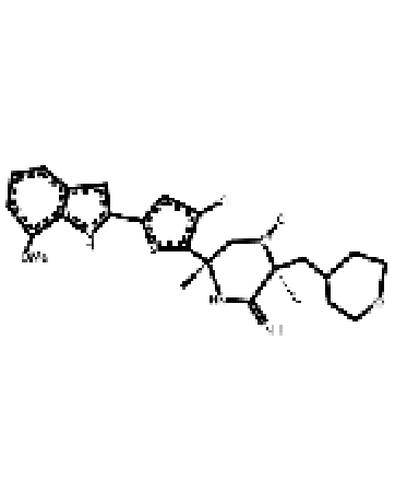 COc1cccc2cc(-c3cc(Cl)c([C@]4(C)C[S+]([O-])[C@@](C)(CC5CCOCC5)C(=N)N4)s3)[nH]c12